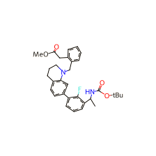 COC(=O)Cc1ccccc1CN1CCCc2ccc(-c3cccc(C(C)NC(=O)OC(C)(C)C)c3F)cc21